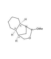 COP1OC[C@@H]2CN1[C@@H]1CCCC[C@H]21